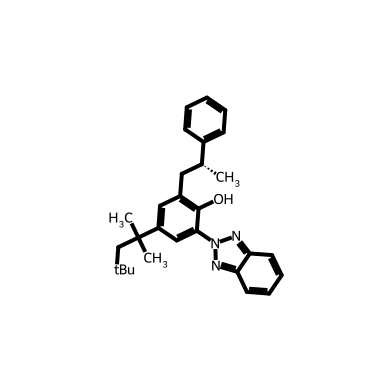 C[C@H](Cc1cc(C(C)(C)CC(C)(C)C)cc(-n2nc3ccccc3n2)c1O)c1ccccc1